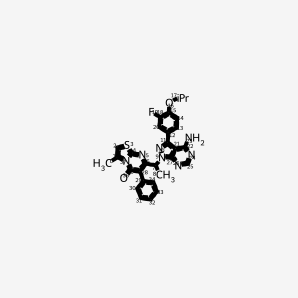 Cc1csc2nc(C(C)n3nc(-c4ccc(OC(C)C)c(F)c4)c4c(N)ncnc43)c(-c3ccccc3)c(=O)n12